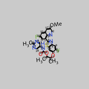 COc1cnc2c(-c3nc4cc(F)c(O[C@@H](C)[C@@H](C)OC(=O)Nc5cnc(C)nc5)cc4s3)cc(F)cc2c1